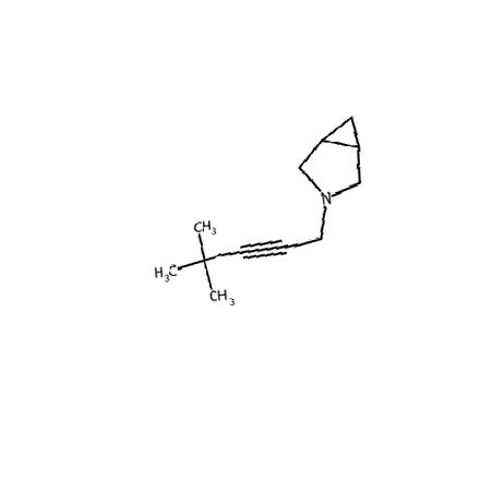 CC(C)(C)C#CCN1CC2CC2C1